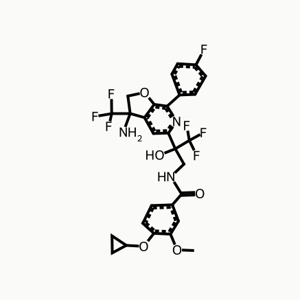 COc1cc(C(=O)NCC(O)(c2cc3c(c(-c4ccc(F)cc4)n2)OCC3(N)C(F)(F)F)C(F)(F)F)ccc1OC1CC1